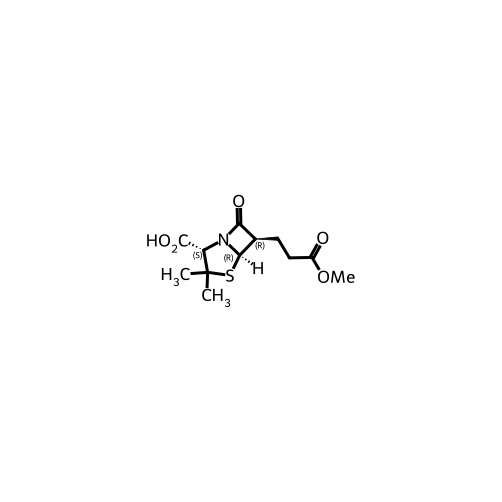 COC(=O)CC[C@@H]1C(=O)N2[C@@H]1SC(C)(C)[C@@H]2C(=O)O